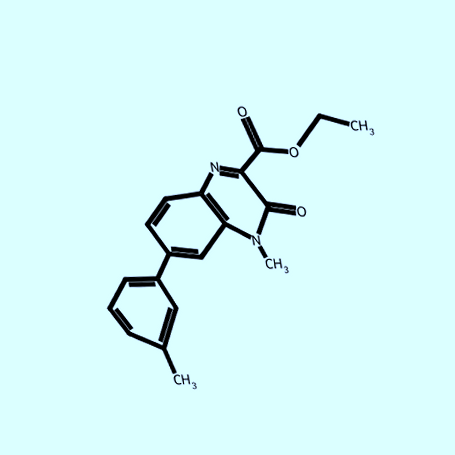 CCOC(=O)c1nc2ccc(-c3cccc(C)c3)cc2n(C)c1=O